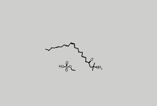 CCCCCCCC/C=C\CCCCCCCC(=O)CC(C)(C)N.CCOS(=O)(=O)O